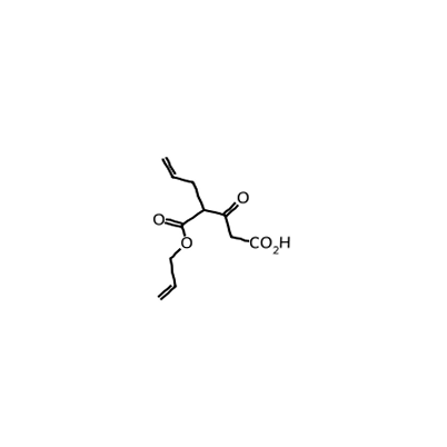 C=CCOC(=O)C(CC=C)C(=O)CC(=O)O